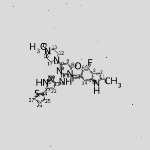 Cc1cc2c(F)c(Oc3cc(N4CCN(C)CC4)nc(Nc4cc(-c5cccs5)[nH]n4)n3)c(F)cc2[nH]1